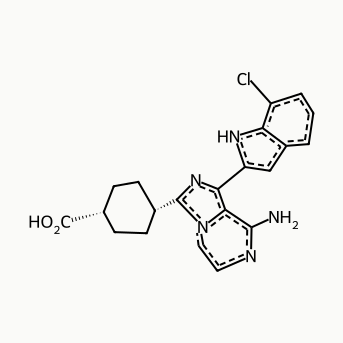 Nc1nccn2c1c(-c1cc3cccc(Cl)c3[nH]1)nc2[C@H]1CC[C@@H](C(=O)O)CC1